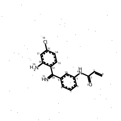 C=CC(=O)Nc1cccc(C(=N)c2ccc(Cl)cc2N)c1